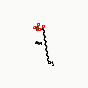 CCCCCCCCCCCCCC(=O)O[SH](=O)=O.[NaH]